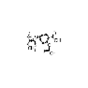 CC(=O)Oc1ccccc1C(=O)O.CCN(CC)C(=S)S